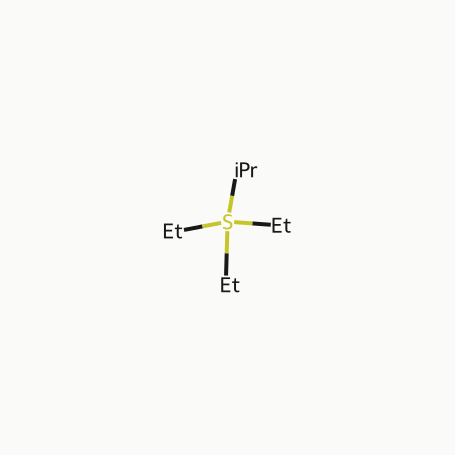 CCS(CC)(CC)C(C)C